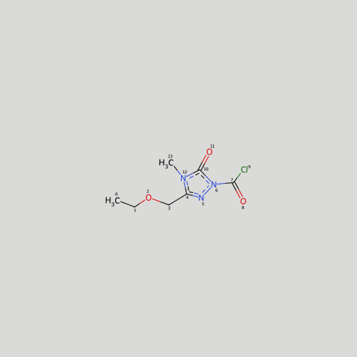 CCOCc1nn(C(=O)Cl)c(=O)n1C